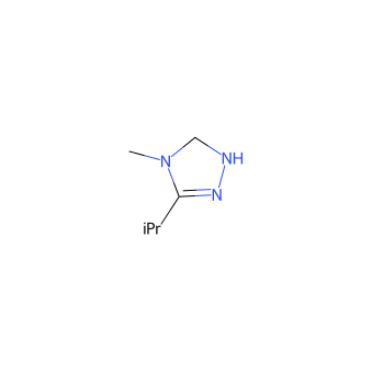 CC(C)C1=NNCN1C